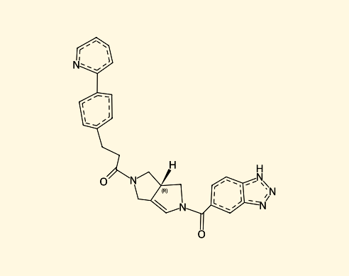 O=C(c1ccc2[nH]nnc2c1)N1C=C2CN(C(=O)CCc3ccc(-c4ccccn4)cc3)C[C@@H]2C1